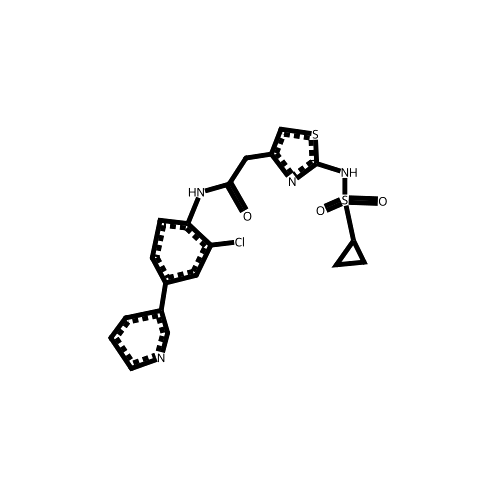 O=C(Cc1csc(NS(=O)(=O)C2CC2)n1)Nc1ccc(-c2cccnc2)cc1Cl